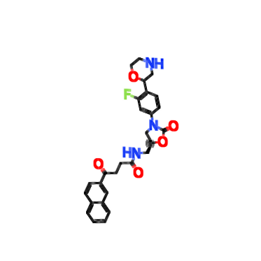 O=C(CCC(=O)c1ccc2ccccc2c1)NC[C@H]1CN(c2ccc(C3CNCCO3)c(F)c2)C(=O)O1